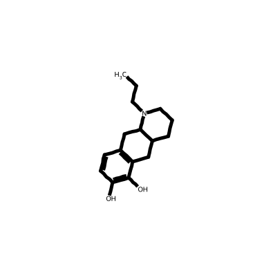 CCCN1CCCC2Cc3c(ccc(O)c3O)CC21